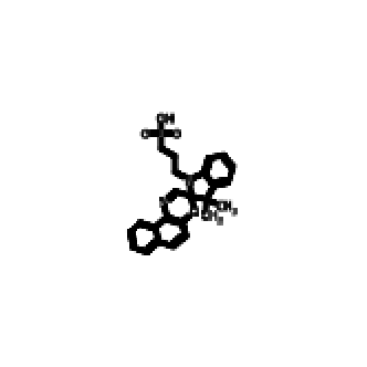 CC1(C)c2ccccc2N(CCCS(=O)(=O)O)C12C=Nc1c(ccc3ccccc13)O2